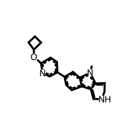 Cn1c2c(c3ccc(-c4ccc(OC5CCC5)nc4)cc31)=CNCC=2